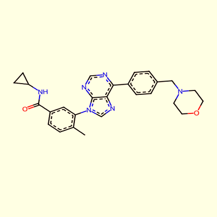 Cc1ccc(C(=O)NC2CC2)cc1-n1cnc2c(-c3ccc(CN4CCOCC4)cc3)ncnc21